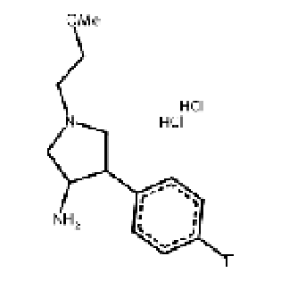 COCCN1CC(N)C(c2ccc(F)cc2)C1.Cl.Cl